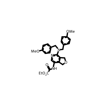 CCOC(=O)C(=O)Nc1cnc(N(Cc2ccc(OC)cc2)Cc2ccc(OC)cc2)c2c1COC2